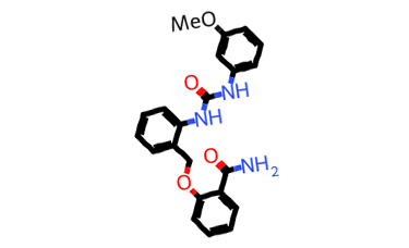 COc1cccc(NC(=O)Nc2ccccc2COc2ccccc2C(N)=O)c1